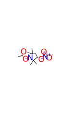 CO[N+](=O)OC1CC(C)(C)N(OC(C)=O)C1(C)C